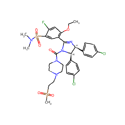 CCOc1cc(F)c(S(=O)(=O)N(C)C)cc1C1=N[C@@H](c2ccc(Cl)cc2)[C@@H](c2ccc(Cl)cc2)N1C(=O)N1CCN(CCS(C)(=O)=O)CC1